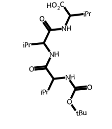 CC(C)C(NC(=O)C(NC(=O)C(NC(=O)OC(C)(C)C)C(C)C)C(C)C)C(=O)O